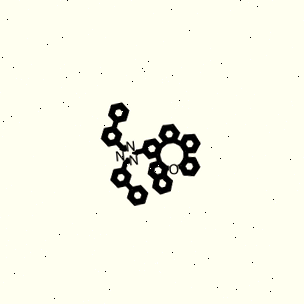 c1ccc(-c2cccc(-c3nc(-c4cccc(-c5ccccc5)c4)nc(-c4ccc5c(c4)-c4ccc6ccccc6c4Oc4ccccc4-c4ccccc4-c4ccccc4-5)n3)c2)cc1